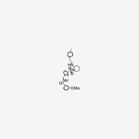 COc1cccc(C(=O)NCc2ccc(S(=O)(=O)N3CCCCC3NCCc3ccc(C)cc3)s2)c1